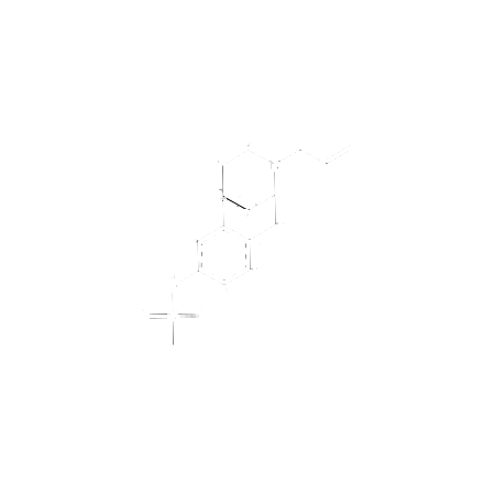 C=CCN1CCC23CCCCC2C1Cc1ccc(OS(C)(=O)=O)cc13